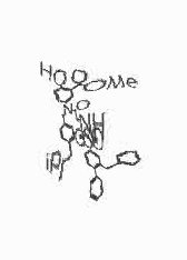 COC(=O)c1cc(N(Cc2ccc(CC(C)C)cc2)C(=O)CNS(=O)(=O)c2ccc(-c3ccccc3)c(Cc3ccccc3)c2)ccc1O